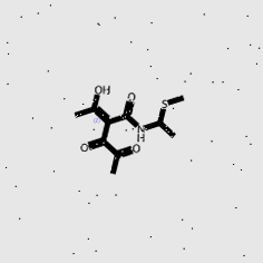 CSC(C)NC(=O)/C(C(=O)C(C)=O)=C(/C)O